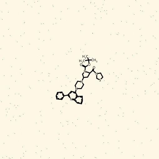 CC(C)(C)OC(=O)N1CC(N2CCN(c3cc(-c4ccccc4)nc4ccccc34)CC2)CC1C(=O)N1CCSC1